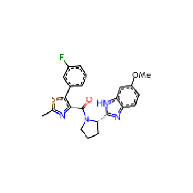 COc1ccc2nc([C@@H]3CCCN3C(=O)c3nc(C)sc3-c3cccc(F)c3)[nH]c2c1